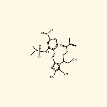 C=C(C)C(=O)OCC(CO)n1c(/N=N/c2ccc(N(CC)CC)cc2NS(=O)(=O)N(C)C)nc(C#N)c1C#N